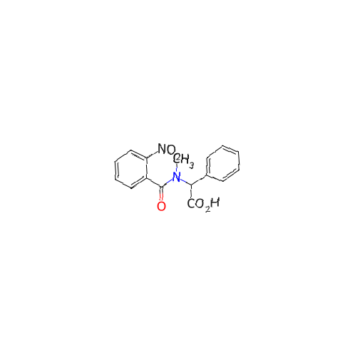 CN(C(=O)c1ccccc1[N+](=O)[O-])C(C(=O)O)c1ccccc1